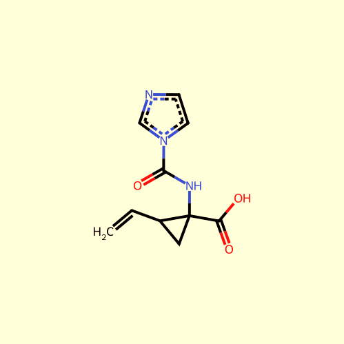 C=CC1CC1(NC(=O)n1ccnc1)C(=O)O